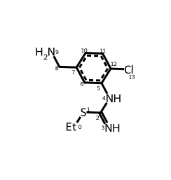 CCSC(=N)Nc1cc(CN)ccc1Cl